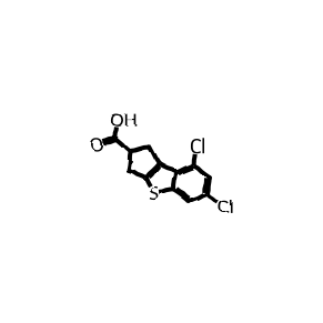 O=C(O)C1Cc2sc3cc(Cl)cc(Cl)c3c2C1